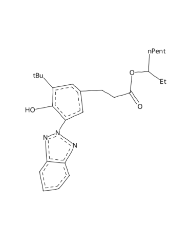 CCCCCC(CC)OC(=O)CCc1cc(-n2nc3ccccc3n2)c(O)c(C(C)(C)C)c1